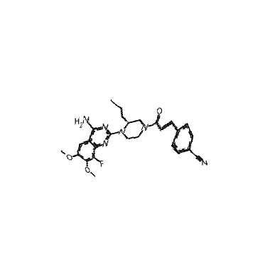 CCC[C@H]1CN(C(=O)C=Cc2ccc(C#N)cc2)CCN1c1nc(N)c2cc(OC)c(OC)c(F)c2n1